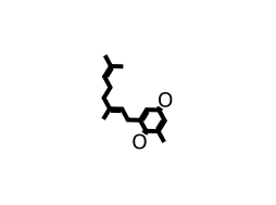 CC(C)=CCC/C(C)=C/CC1=CC(=O)C=C(C)C1=O